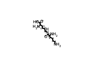 NCCCCC(N)C(=O)NCCCC[C@H](N)C(=O)O